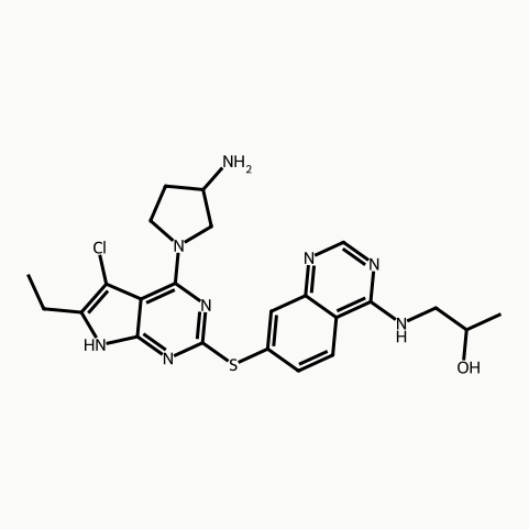 CCc1[nH]c2nc(Sc3ccc4c(NCC(C)O)ncnc4c3)nc(N3CCC(N)C3)c2c1Cl